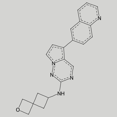 c1cnc2ccc(-c3ccn4nc(NC5CC6(COC6)C5)ncc34)cc2c1